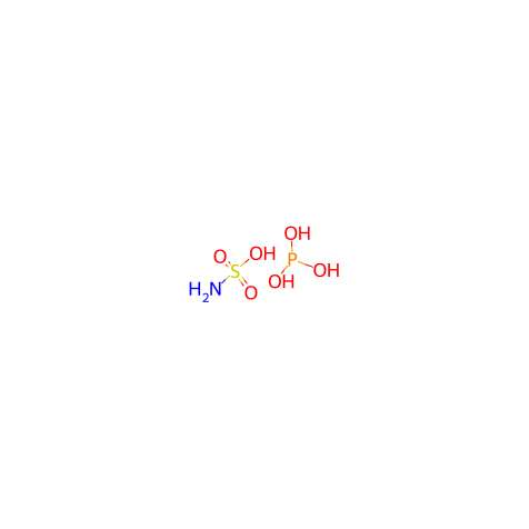 NS(=O)(=O)O.OP(O)O